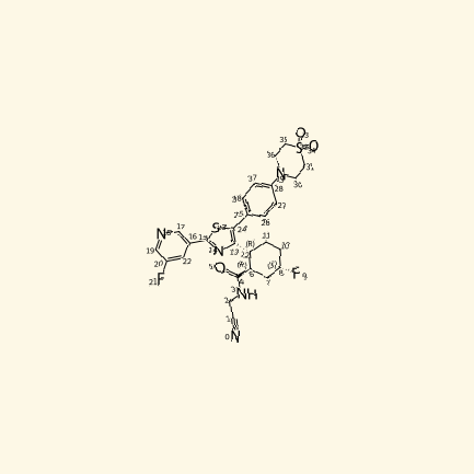 N#CCNC(=O)[C@@H]1C[C@@H](F)CC[C@H]1c1nc(-c2cncc(F)c2)sc1-c1ccc(N2CCS(=O)(=O)CC2)cc1